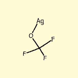 FC(F)(F)[O][Ag]